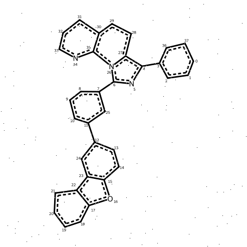 c1ccc(-c2nc(-c3cccc(-c4ccc5oc6ccccc6c5c4)c3)n3c2ccc2cccnc23)cc1